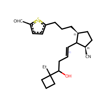 CCC1(C(O)C/C=C/C2[C@@H](CCCc3ccc(C=O)s3)CC[C@H]2C#N)CCC1